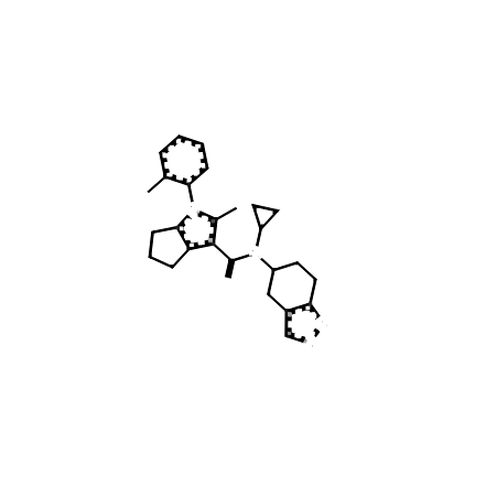 Cc1ccccc1-n1c(C)c(C(=O)N(C2CC2)C2CCc3[nH]ncc3C2)c2c1CCC2